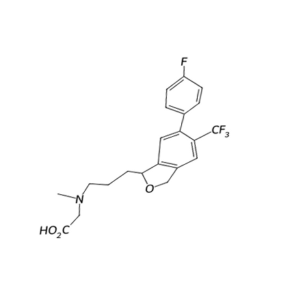 CN(CCCC1OCc2cc(C(F)(F)F)c(-c3ccc(F)cc3)cc21)CC(=O)O